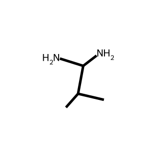 CC(C)C(N)N